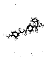 Nc1ccc(C(=O)CCC(=O)N2CCC(n3c(=O)[nH]c4ccccc43)CC2)cc1Br